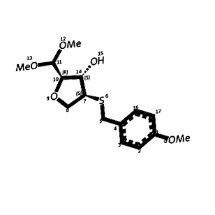 COc1ccc(CS[C@H]2CO[C@@H](C(OC)OC)[C@@H]2O)cc1